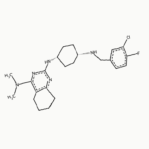 CN(C)c1nc(N[C@H]2CC[C@@H](NCc3ccc(F)c(Cl)c3)CC2)nc2c1CCCC2